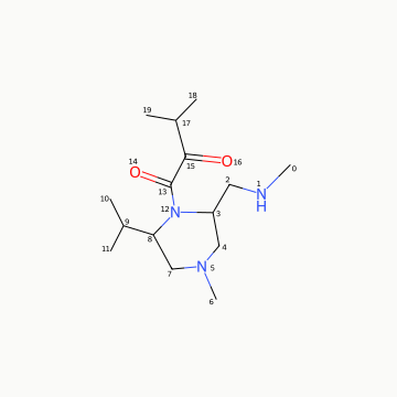 CNCC1CN(C)CC(C(C)C)N1C(=O)C(=O)C(C)C